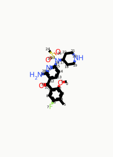 COc1cc(C)c(F)cc1C(=O)c1ccc(N(C2CCNCC2)S(C)(=O)=O)nc1N